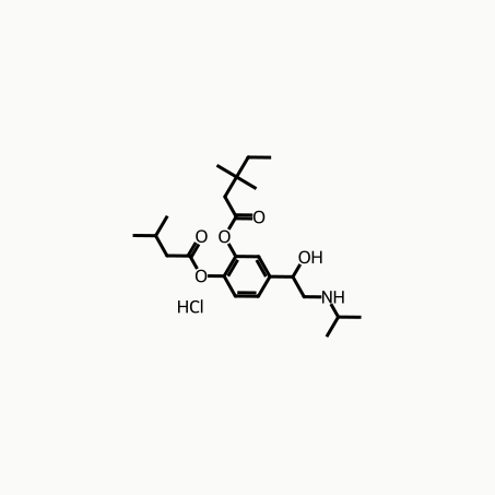 CCC(C)(C)CC(=O)Oc1cc(C(O)CNC(C)C)ccc1OC(=O)CC(C)C.Cl